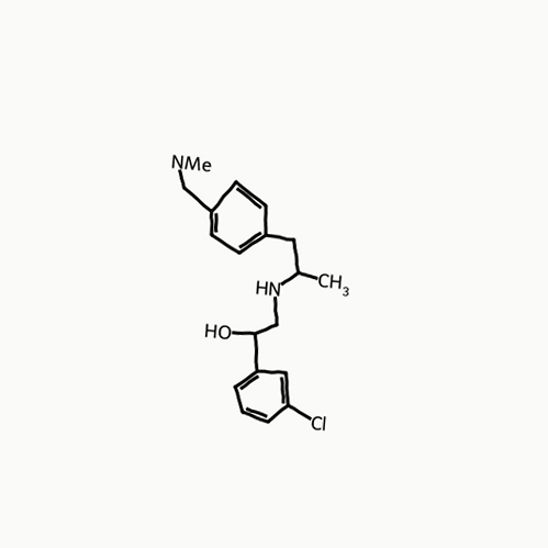 CNCc1ccc(CC(C)NCC(O)c2cccc(Cl)c2)cc1